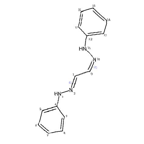 C(/C=N/Nc1ccccc1)=N/Nc1ccccc1